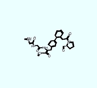 CNCC(=O)NCC(=O)NC(Cc1ccc(C2=C(CC(=O)N3CCC[C@H]3C=O)CCC=C2)cc1)C(=O)OC